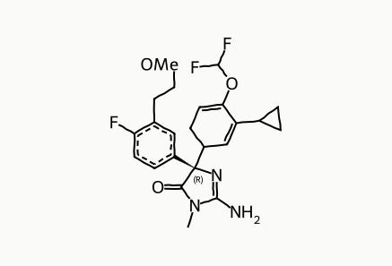 COCCc1cc([C@@]2(C3C=C(C4CC4)C(OC(F)F)=CC3)N=C(N)N(C)C2=O)ccc1F